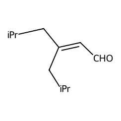 CC(C)CC(=CC=O)CC(C)C